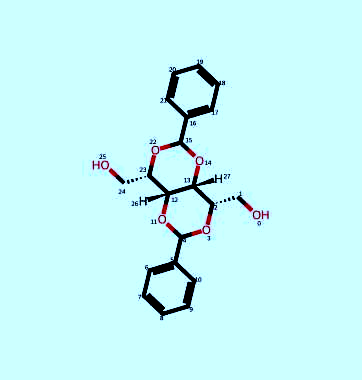 OC[C@@H]1OC(c2ccccc2)O[C@H]2[C@@H]1OC(c1ccccc1)O[C@H]2CO